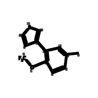 Cc1ccc(OC(F)(F)F)c(-c2ccsc2)c1